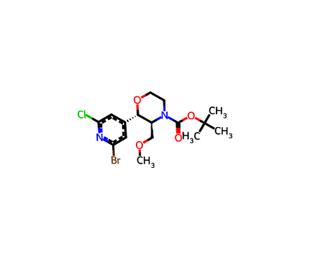 COC[C@H]1[C@H](c2cc(Cl)nc(Br)c2)OCCN1C(=O)OC(C)(C)C